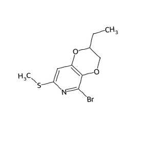 CCC1COc2c(cc(SC)nc2Br)O1